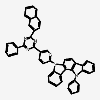 c1ccc(-c2nc(-c3ccc(-n4c5ccccc5c5c4ccc4c6ccccc6n(-c6ccccc6)c45)nc3)nc(-c3ccc4ccccc4c3)n2)cc1